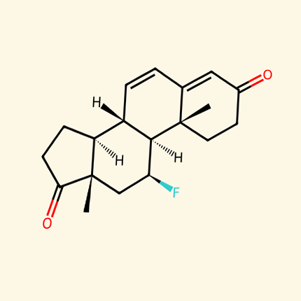 C[C@]12CCC(=O)C=C1C=C[C@@H]1[C@@H]2[C@@H](F)C[C@]2(C)C(=O)CC[C@@H]12